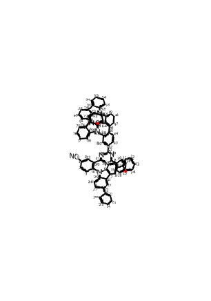 N#Cc1ccc(-n2c3ccc(-c4ccccc4)cc3c3cc(-c4ccccc4)ccc32)c(-c2nc(-c3ccccc3)nc(-c3ccc(-c4cccc(-n5c6ccccc6c6ccccc65)c4C#N)c(-n4c5ccccc5c5ccccc54)c3)n2)c1